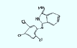 N=C1NC(=Nc2cc(Cl)c(Cl)cc2Cl)c2ccccc21